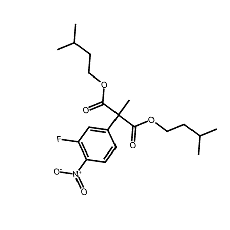 CC(C)CCOC(=O)C(C)(C(=O)OCCC(C)C)c1ccc([N+](=O)[O-])c(F)c1